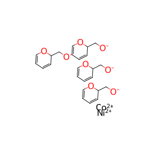 [Co+2].[Ni+2].[O-]CC1C=CC=CO1.[O-]CC1C=CC=CO1.[O-]CC1C=CC=CO1.[O-]CC1C=CC=CO1